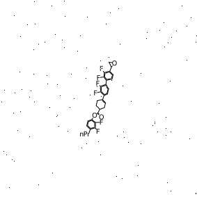 CCCc1ccc(OC(=O)C2CC=C(c3ccc(-c4ccc(C5CO5)c(F)c4F)c(F)c3F)CC2)c(F)c1F